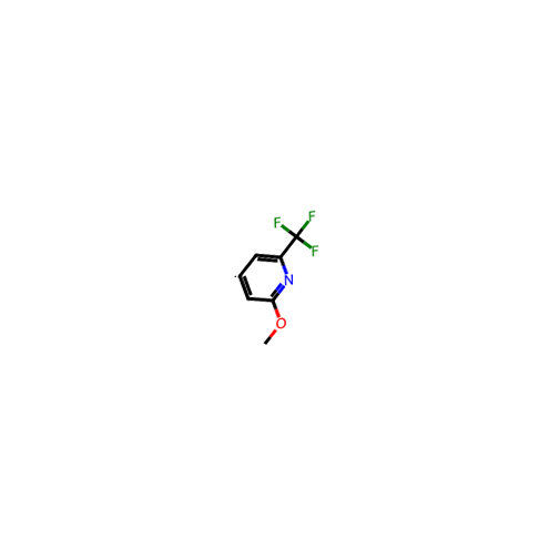 COc1c[c]cc(C(F)(F)F)n1